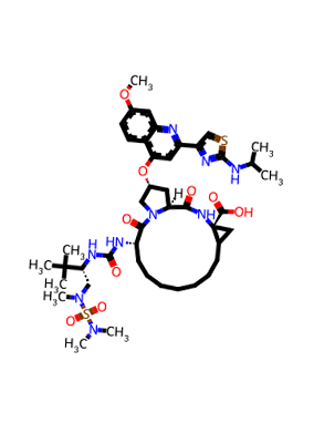 COc1ccc2c(O[C@@H]3C[C@H]4C(=O)N[C@]5(C(=O)O)CC5CCCCCCC[C@H](NC(=O)N[C@H](CN(C)S(=O)(=O)N(C)C)C(C)(C)C)C(=O)N4C3)cc(-c3csc(NC(C)C)n3)nc2c1